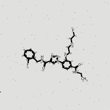 CCNC(=O)c1ccc(-n2cc(C(=O)NCc3ccccc3F)nn2)c(OCCOCCF)c1